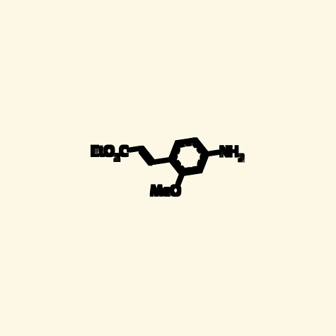 CCOC(=O)C=Cc1ccc(N)cc1OC